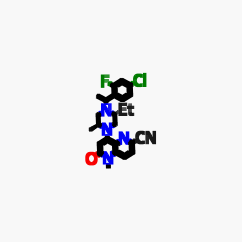 CC[C@@H]1CN(c2cc(=O)n(C)c3ccc(C#N)nc23)[C@@H](C)CN1C(C)c1ccc(Cl)cc1F